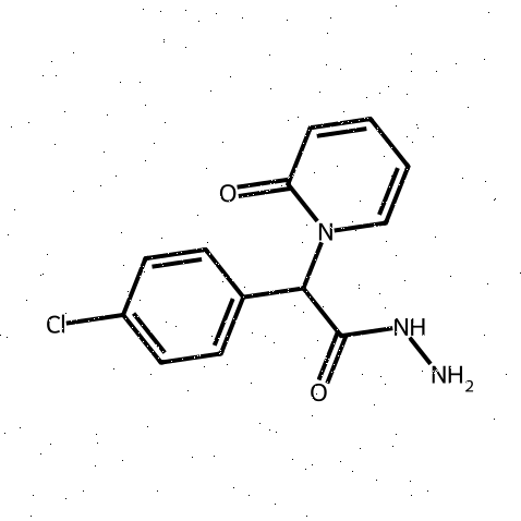 NNC(=O)C(c1ccc(Cl)cc1)n1ccccc1=O